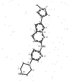 Cn1cc(-c2cc3cnc(Nc4ccc(N5CCNCC5)cn4)nn3c2)cn1